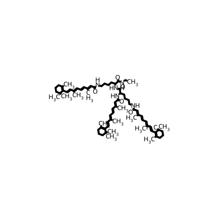 CCNC(=O)C(CCCCNC(=O)/C=C(C)/C=C/C=C(C)/C=C/C1=C(C)CCCC1(C)C)NC(=O)C(CCCCNC(=O)/C=C(C)/C=C/C=C(C)/C=C/C1=C(C)CCCC1(C)C)NC(=O)/C=C(C)/C=C/C=C(C)/C=C/C1=C(C)CCCC1(C)C